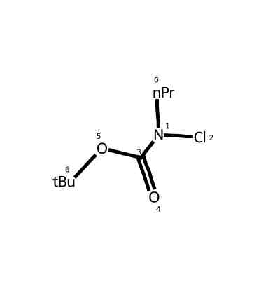 CCCN(Cl)C(=O)OC(C)(C)C